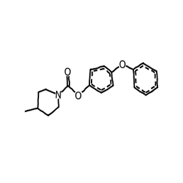 CC1CCN(C(=O)Oc2ccc(Oc3ccccc3)cc2)CC1